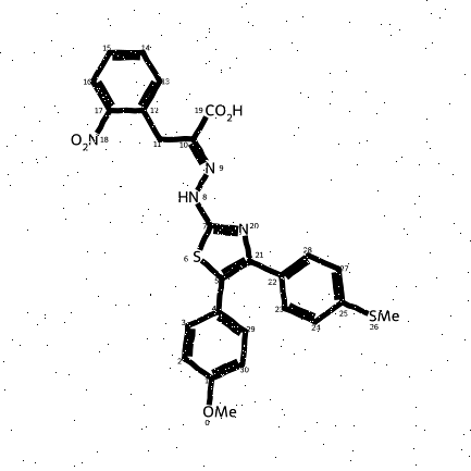 COc1ccc(-c2sc(N/N=C(\Cc3ccccc3[N+](=O)[O-])C(=O)O)nc2-c2ccc(SC)cc2)cc1